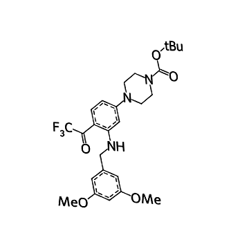 COc1cc(CNc2cc(N3CCN(C(=O)OC(C)(C)C)CC3)ccc2C(=O)C(F)(F)F)cc(OC)c1